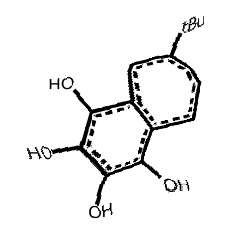 CC(C)(C)c1ccc2c(O)c(O)c(O)c(O)c2c1